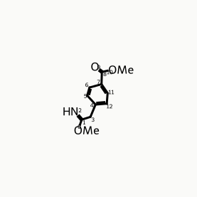 COC(=N)Cc1ccc(C(=O)OC)cc1